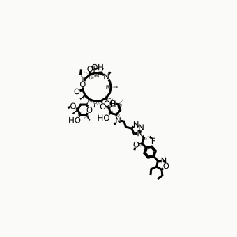 CCC1ON=C(c2ccc([C@@H](OC)[C@@H](CF)N3CC(CCN(C)[C@H]4C[C@@H](C)O[C@@H](O[C@@H]5[C@@H](C)[C@H](C6C[C@@](C)(OC)[C@@H](O)[C@H](C)O6)[C@@H](C)C(=O)O[C@H](CC)[C@@](C)(O)[C@H](O)[C@@H](C)N(C)C[C@H](C)C[C@@]5(C)O)[C@@H]4O)N=N3)cc2)C1CC